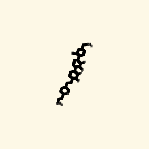 C=Cc1ccc(-c2ccc(-c3ccc(CCC4CCC(CCC)OC4)c(F)c3F)c(F)c2F)c(F)c1